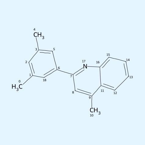 Cc1cc(C)cc(-c2cc(C)c3ccccc3n2)c1